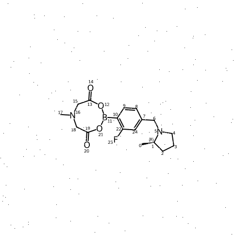 C[C@@H]1CCCN1Cc1ccc(B2OC(=O)CN(C)CC(=O)O2)c(F)c1